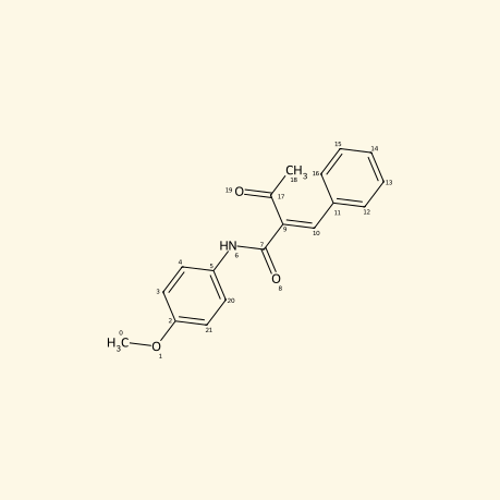 COc1ccc(NC(=O)C(=Cc2ccccc2)C(C)=O)cc1